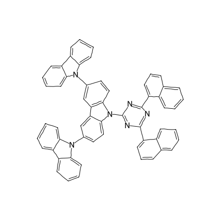 c1ccc2c(-c3nc(-c4cccc5ccccc45)nc(-n4c5ccc(-n6c7ccccc7c7ccccc76)cc5c5cc(-n6c7ccccc7c7ccccc76)ccc54)n3)cccc2c1